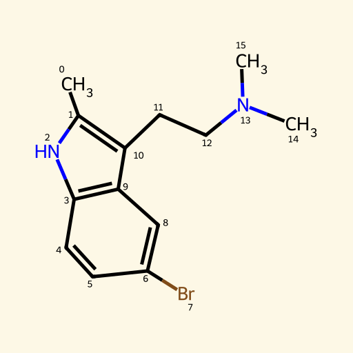 Cc1[nH]c2ccc(Br)cc2c1CCN(C)C